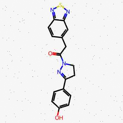 O=C(Cc1ccc2nsnc2c1)N1CCC(c2ccc(O)cc2)=N1